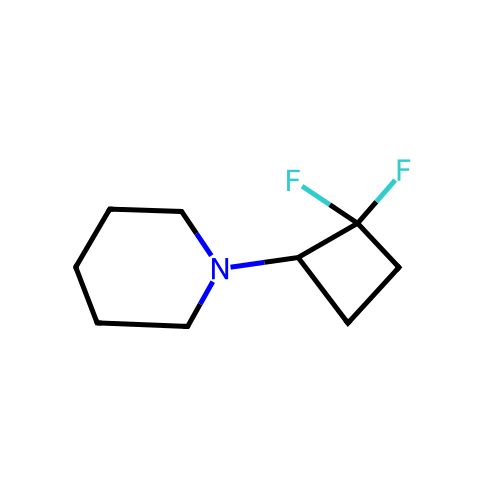 FC1(F)CCC1N1CCCCC1